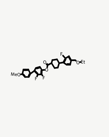 CCOCc1ccc(C2CCC(C(=O)Oc3ccc(-c4ccc(OC)cc4)c(F)c3F)CC2)c(F)c1